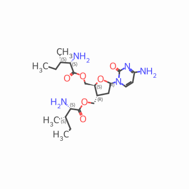 CC[C@H](C)[C@H](N)C(=O)OC[C@H]1C[C@H](n2ccc(N)nc2=O)O[C@@H]1COC(=O)[C@@H](N)[C@@H](C)CC